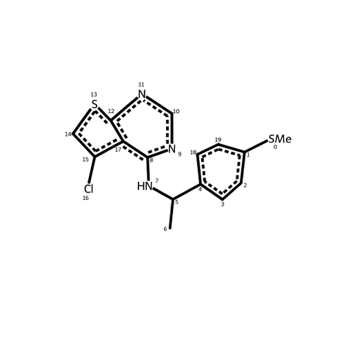 CSc1ccc(C(C)Nc2ncnc3scc(Cl)c23)cc1